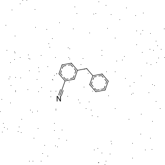 N#Cc1[c]ccc(Cc2ccccc2)c1